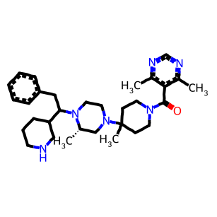 Cc1ncnc(C)c1C(=O)N1CCC(C)(N2CCN(C(Cc3ccccc3)C3CCCNC3)[C@@H](C)C2)CC1